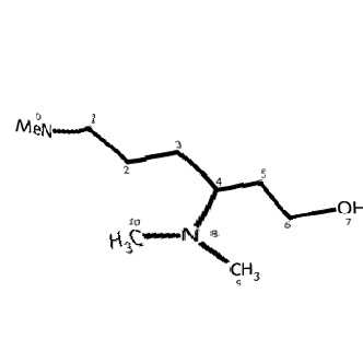 CNCCCC(CCO)N(C)C